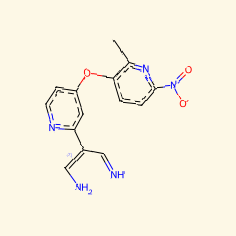 Cc1nc([N+](=O)[O-])ccc1Oc1ccnc(/C(C=N)=C/N)c1